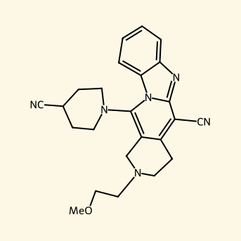 COCCN1CCc2c(c(N3CCC(C#N)CC3)n3c(nc4ccccc43)c2C#N)C1